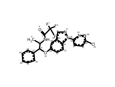 CC(NC(=O)C(F)(F)F)C(Oc1ccc2c(cnn2-c2ccc(Cl)nn2)c1)c1ccccc1